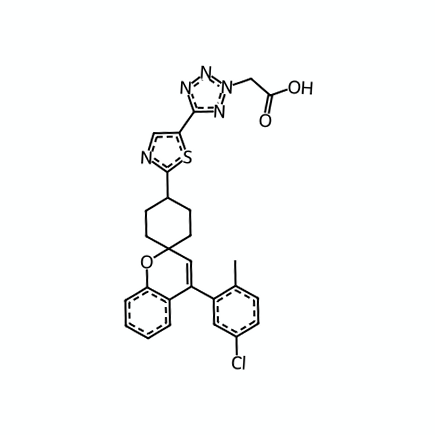 Cc1ccc(Cl)cc1C1=CC2(CCC(c3ncc(-c4nnn(CC(=O)O)n4)s3)CC2)Oc2ccccc21